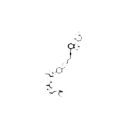 Cn1c(=O)n(C2CCC(=O)NC2=O)c2cccc(C#CCCCNCC3CCC(n4cc(NC(=O)c5cnn6ccc(N7C[C@H]8CC7CO8)nc56)c(C(F)F)n4)CC3)c21